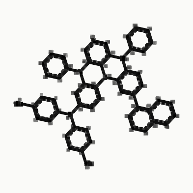 CC(C)(C)c1ccc(N(c2ccc(C(C)(C)C)cc2)c2ccc3c(c2)N(c2ccccc2)c2cncc4c2B3c2cc(-c3cccc5ccccc35)ccc2N4c2ccccc2)cc1